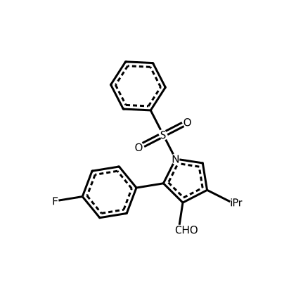 CC(C)c1cn(S(=O)(=O)c2ccccc2)c(-c2ccc(F)cc2)c1C=O